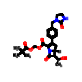 C[C@@H](O)[C@H]1C(=O)N2C(C(=O)OCOC(=O)C(C)(C)C)=C(c3ccc(CN4CCNC4=O)cc3)C[C@H]12